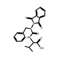 CC(C)C(NC(=O)N(Cc1ccccc1)N1C(=O)c2ccccc2C1=O)C(=O)O